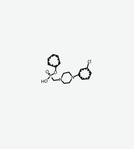 O=P(O)(CN1CCN(c2cccc(Cl)c2)CC1)Oc1ccccc1